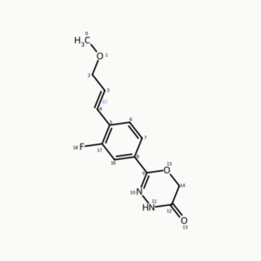 COC/C=C/c1ccc(C2=NNC(=O)CO2)cc1F